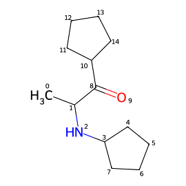 CC(NC1CCCC1)C(=O)C1CCCC1